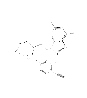 C#Cc1ccc(OC)cc1Cc1nc2c(N)nc(F)nc2n1CCC1CCN(C(C)=O)CC1